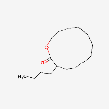 CCCCC1CCCCCCCCCCOC1=O